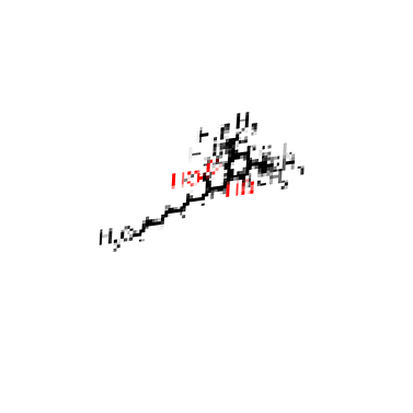 CCCCCCCCC(Cc1cc(C(C)(C)C)cc(C(C)(C)C)c1O)C(=O)O